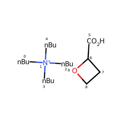 CCCC[N+](CCCC)(CCCC)CCCC.O=C(O)C1CCO1